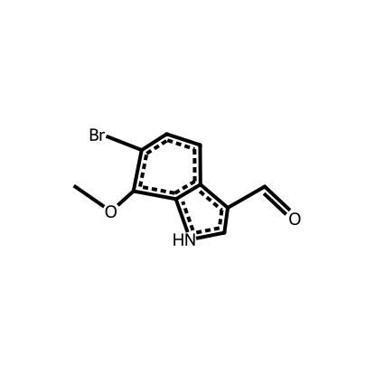 COc1c(Br)ccc2c(C=O)c[nH]c12